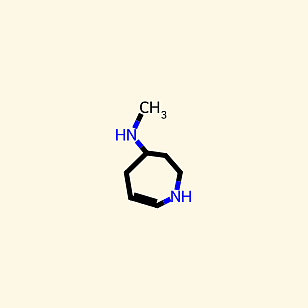 CNC1CC=CNCC1